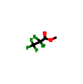 COC(=O)C(F)(Br)C(F)(F)F